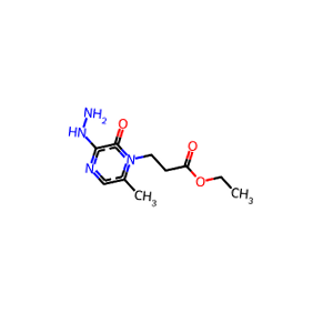 CCOC(=O)CCn1c(C)cnc(NN)c1=O